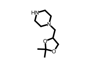 CC1(C)OCC(CN2CCNCC2)O1